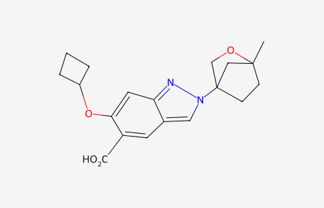 CC12CCC(n3cc4cc(C(=O)O)c(OC5CCC5)cc4n3)(CO1)C2